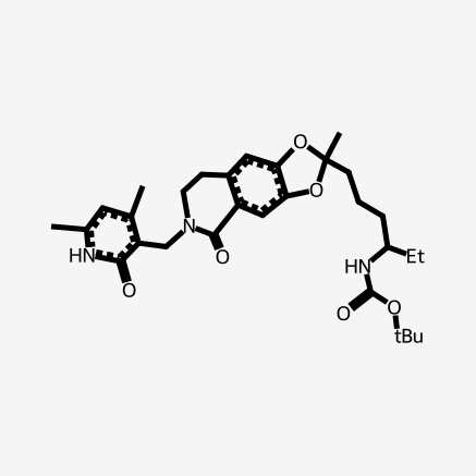 CCC(CCCC1(C)Oc2cc3c(cc2O1)C(=O)N(Cc1c(C)cc(C)[nH]c1=O)CC3)NC(=O)OC(C)(C)C